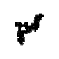 COc1ccc(Cn2nnc3c(F)cc(/C=C(\C)[C@H]4OC(=O)C[C@@H](O)CC[C@@H](C)[C@H](OC(=O)N5CCN(C)CC5)/C=C/[C@@H]4C)cc32)cc1